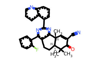 CC1(C)C(=O)C(C#N)=C[C@@]2(C)c3nc(-c4cccc5ncccc45)nc(-c4ccccc4F)c3CC[C@H]12